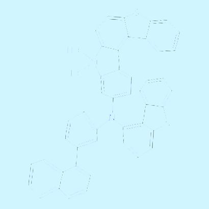 C[Si]1(C)c2cc(N(c3cccc(-c4cccc5ccccc45)c3)c3cccc4sc5ccccc5c34)ccc2-c2c1ccc1sc3ccccc3c21